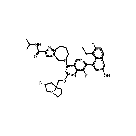 CCc1c(F)ccc2cc(O)cc(-c3ncc4c(N5CCCn6nc(C(=O)NC(C)C)cc6C5)nc(OC[C@@]56CCCN5C[C@H](F)C6)nc4c3F)c12